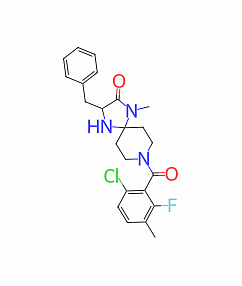 Cc1ccc(Cl)c(C(=O)N2CCC3(CC2)NC(Cc2ccccc2)C(=O)N3C)c1F